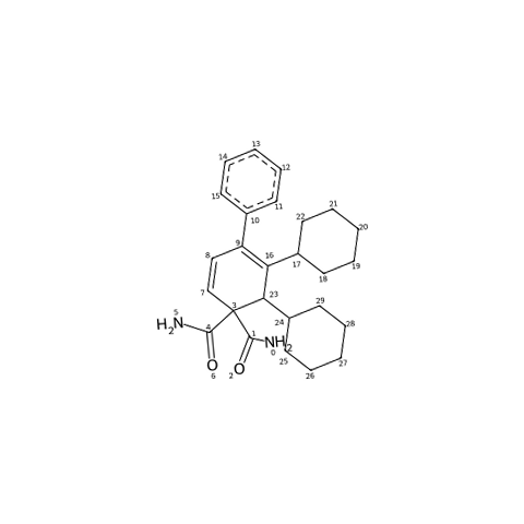 NC(=O)C1(C(N)=O)C=CC(c2ccccc2)=C(C2CCCCC2)C1C1CCCCC1